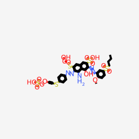 CCCCS(=O)(=O)c1ccc(OC)c(N=Nc2c(S(=O)(=O)O)cc3cc(SOOO)c(N=Nc4ccc(SC#COOS(=O)(=O)O)cc4)c(N)c3c2O)c1